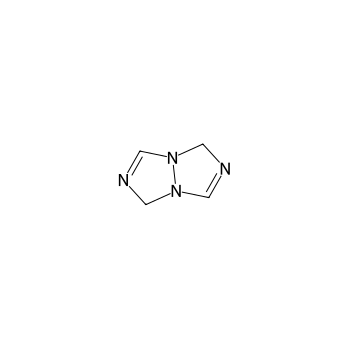 C1=NCN2C=NCN12